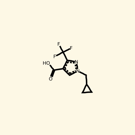 O=C(O)c1cn(CC2CC2)nc1C(F)(F)F